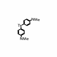 CNc1ccc([Te]c2ccc(NC)cc2)cc1